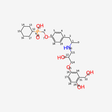 CC(Cc1ccc(OCP(=O)(O)C2CCCCC2)cc1)NCC(O)COc1ccc(O)c(CO)c1